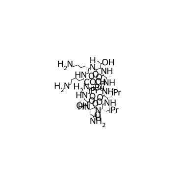 CC[C@H](C)[C@H](N)C(=O)N[C@@H](CO)C(=O)N[C@@H](CC(N)=O)C(=O)N[C@@H](CC(C)C)C(=O)N[C@@H](CC(C)C)C(=O)N[C@H](C(=O)N[C@@H](C)C(=O)N[C@H](C(=O)N[C@@H](CCCCN)C(=O)N[C@@H](CCCCN)C(=O)O)[C@@H](C)O)C(C)C